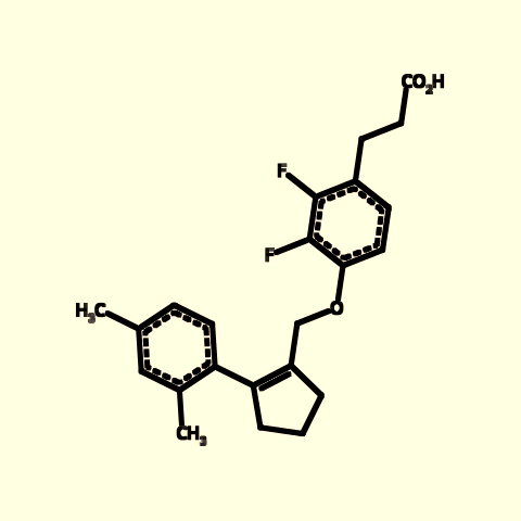 Cc1ccc(C2=C(COc3ccc(CCC(=O)O)c(F)c3F)CCC2)c(C)c1